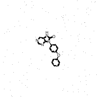 O=c1[nH]c2cncnc2n1-c1ccc(Oc2ccccc2)cc1